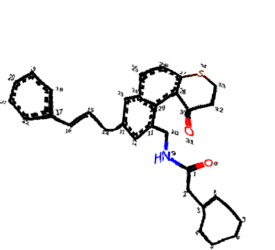 O=C(CC1CCCCC1)NCc1cc(CC=Cc2ccccc2)cc2ccc3c(c12)C(=O)CCS3